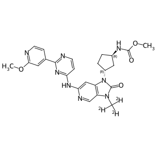 [2H]C([2H])([2H])n1c(=O)n([C@@H]2CC[C@@H](NC(=O)OC)C2)c2cc(Nc3ccnc(-c4ccnc(OC)c4)n3)ncc21